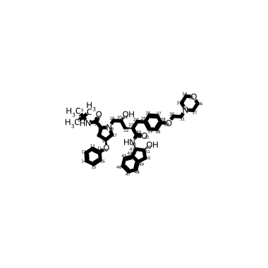 CC(C)(C)NC(=O)C1C[C@H](Oc2ccccc2)CN1C[C@@H](O)C[C@@H](Cc1ccc(OCCN2CCOCC2)cc1)C(=O)N[C@H]1c2ccccc2C[C@H]1O